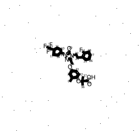 Cc1cc(OCc2nn(-c3ccc(C(F)(F)F)cc3)c(=O)n2CCc2ccccc2F)ccc1OC(C)(C)C(=O)O